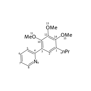 CCCc1[c]c(-c2ccccn2)c(OC)c(OC)c1OC